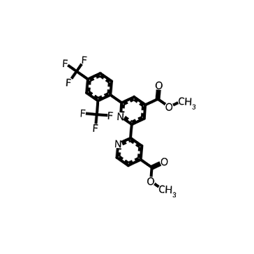 COC(=O)c1ccnc(-c2cc(C(=O)OC)cc(-c3ccc(C(F)(F)F)cc3C(F)(F)F)n2)c1